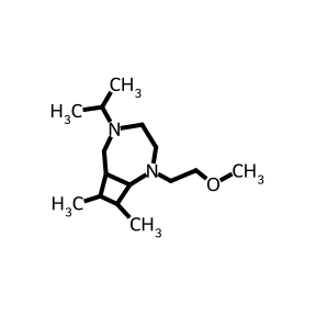 COCCN1CCN(C(C)C)CC2C(C)C(C)C21